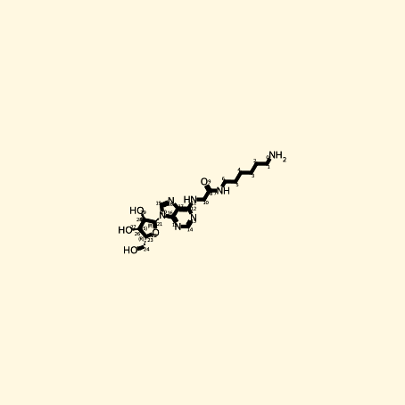 NCCCCCCNC(=O)CNc1ncnc2c1ncn2[C@@H]1O[C@H](CO)[C@@H](O)[C@H]1O